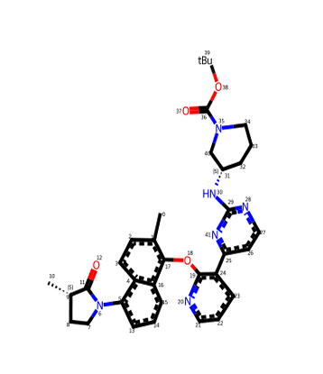 Cc1ccc2c(N3CC[C@H](C)C3=O)cccc2c1Oc1ncccc1-c1ccnc(N[C@H]2CCCN(C(=O)OC(C)(C)C)C2)n1